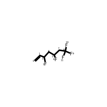 C=CC(F)CC(F)CC(F)(F)F